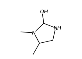 CC1CNC(O)N1C